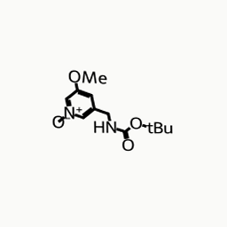 COc1cc(CNC(=O)OC(C)(C)C)c[n+]([O-])c1